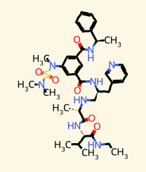 CCNC(=O)[C@@H](NC(=O)[C@H](C)NC[C@H](Cc1cccnc1)NC(=O)c1cc(C(=O)N[C@H](C)c2ccccc2)cc(N(C)S(=O)(=O)N(C)C)c1)C(C)C